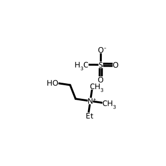 CC[N+](C)(C)CCO.CS(=O)(=O)[O-]